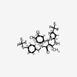 CC1=C(C(=O)NCc2ccc(SC(F)(F)F)cc2)C(c2ccc(Cl)c(Cl)c2)n2nc(C(F)(F)F)cc2N1